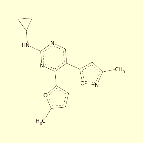 Cc1cc(-c2cnc(NC3CC3)nc2-c2ccc(C)o2)on1